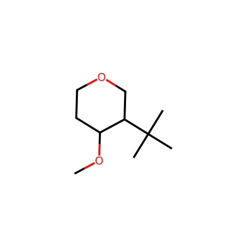 COC1CCOCC1C(C)(C)C